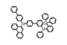 c1ccc(-c2ccc(N(c3ccc(-c4ccc5c(c4)N(c4ccccc4)c4ccccc4[Si]5(c4ccccc4)c4ccccc4)cc3)c3cc4ccccc4c4ccccc34)cc2)cc1